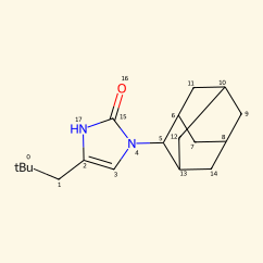 CC(C)(C)Cc1cn(C2C3CC4CC(C3)CC2C4)c(=O)[nH]1